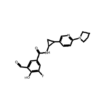 O=Cc1cc(C(=O)NC2CC2c2ccc(N3CCCC3)nc2)cc(F)c1O